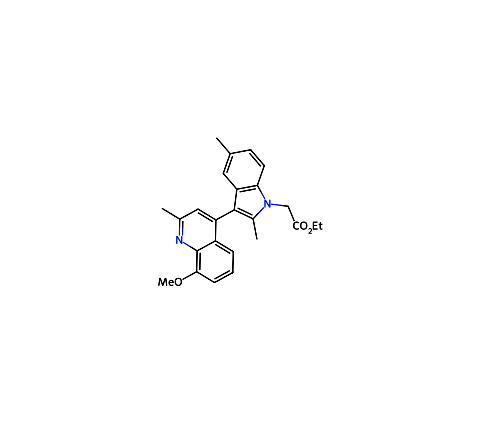 CCOC(=O)Cn1c(C)c(-c2cc(C)nc3c(OC)cccc23)c2cc(C)ccc21